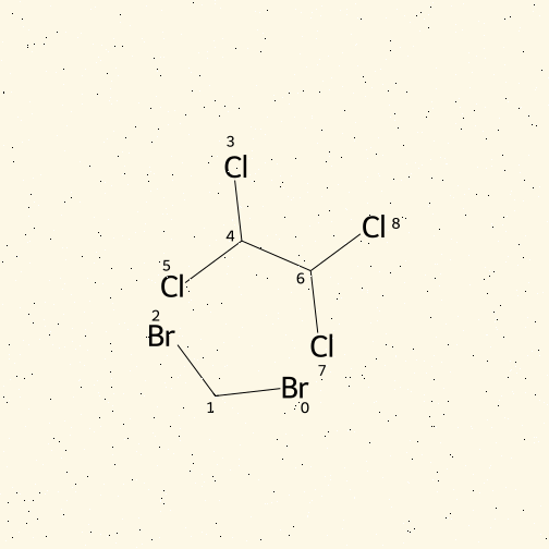 BrCBr.ClC(Cl)C(Cl)Cl